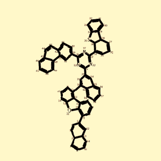 C1=CC2C=CC(c3cccc4c3oc3cccc(-c5cc(-c6nc(C7=CC=CC8c9ccccc9SC78)nc(-c7ccc8ccc9ccccc9c8c7)n6)cc6ccccc56)c34)=CC2C=C1